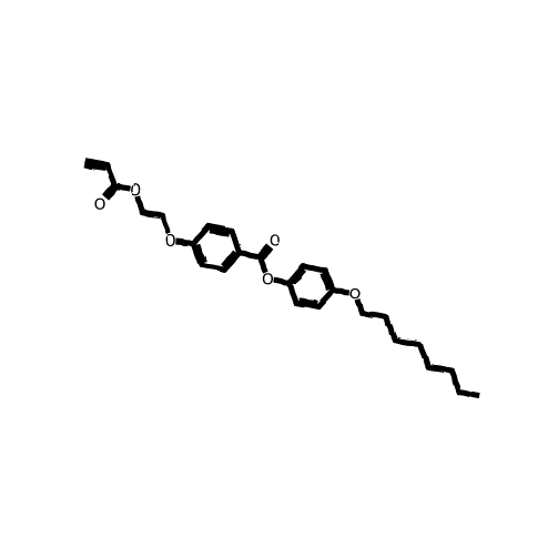 C=CC(=O)OCCOc1ccc(C(=O)Oc2ccc(OCCCCCCCC)cc2)cc1